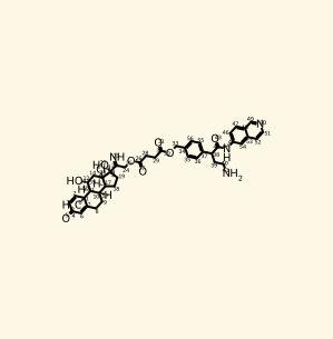 C[C@]12C=CC(=O)C=C1CC[C@@H]1[C@@H]2[C@@H](O)C[C@@]2(C)[C@H]1CC[C@]2(O)C(=N)COC(=O)CCC(=O)OCc1ccc(C(CCN)C(=O)Nc2ccc3cnccc3c2)cc1